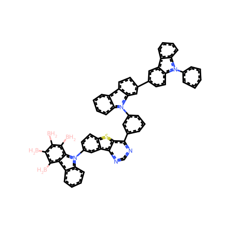 Bc1c(B)c(B)c2c(c1B)c1ccccc1n2-c1ccc2sc3c(-c4cccc(-n5c6ccccc6c6ccc(-c7ccc8c(c7)c7ccccc7n8-c7ccccc7)cc65)c4)ncnc3c2c1